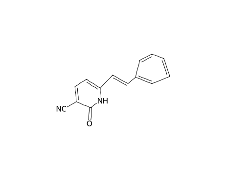 N#Cc1ccc(/C=C/c2ccccc2)[nH]c1=O